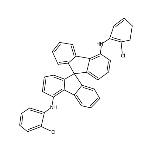 ClC1=C(Nc2cccc3c2-c2ccccc2C32c3ccccc3-c3c(Nc4ccccc4Cl)cccc32)C=CCC1